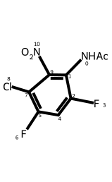 CC(=O)Nc1c(F)cc(F)c(Cl)c1[N+](=O)[O-]